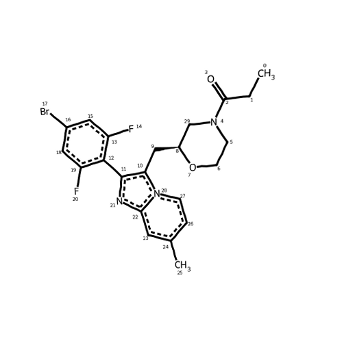 CCC(=O)N1CCO[C@@H](Cc2c(-c3c(F)cc(Br)cc3F)nc3cc(C)ccn23)C1